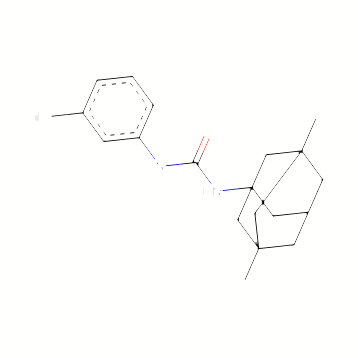 CC(C)c1cccc(NC(=O)NC23CC4CC(C)(CC(C)(C4)C2)C3)c1